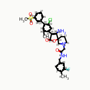 Cc1ccc(CNC(=O)CN2CCCC3(C2)OC(=O)C(c2cc(Cl)c(-c4cccc(S(C)(=O)=O)c4)cc2C)=C3N)cc1F